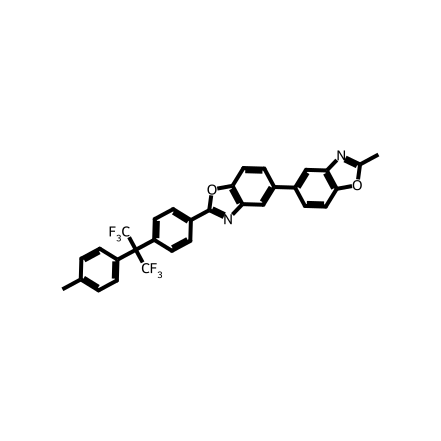 Cc1ccc(C(c2ccc(-c3nc4cc(-c5ccc6oc(C)nc6c5)ccc4o3)cc2)(C(F)(F)F)C(F)(F)F)cc1